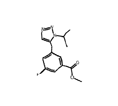 COC(=O)c1cc(F)cc(-c2cnnn2C(C)C)c1